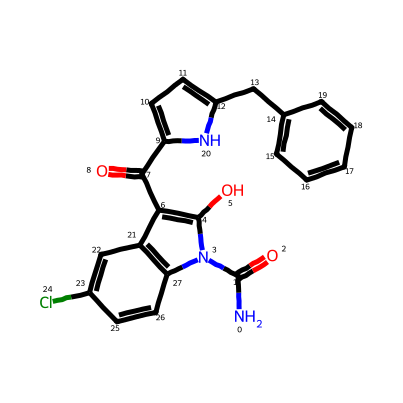 NC(=O)n1c(O)c(C(=O)c2ccc(Cc3ccccc3)[nH]2)c2cc(Cl)ccc21